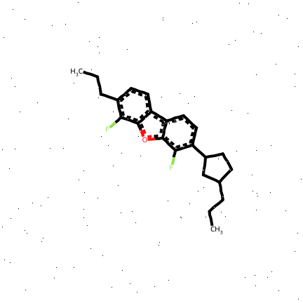 CCCc1ccc2c(oc3c(F)c(C4CCC(CCC)C4)ccc32)c1F